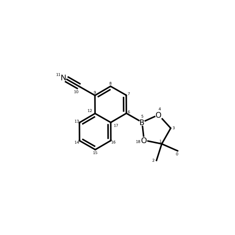 CC1(C)COB(c2ccc(C#N)c3ccccc23)O1